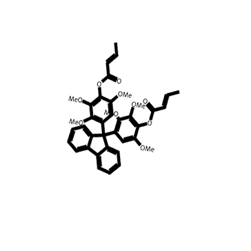 CC=CC(=O)Oc1c(OC)cc(C2(c3cc(OC)c(OC(=O)C=CC)c(OC)c3OC)c3ccccc3-c3ccccc32)c(OC)c1OC